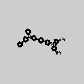 CC(C)c1ccc2c(c1)c1cc(C(C)C)ccc1n2-c1ccc(-c2ccc(-c3ccc(N(c4ccccc4)c4ccc(-c5ccccc5)cc4)cc3)cc2)cc1